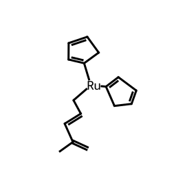 C=C(C)C=C[CH2][Ru]([C]1=CC=CC1)[C]1=CC=CC1